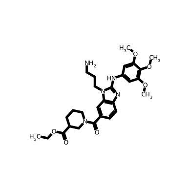 CCOC(=O)C1CCCN(C(=O)c2ccc3nc(Nc4cc(OC)c(OC)c(OC)c4)n(CCCN)c3c2)C1